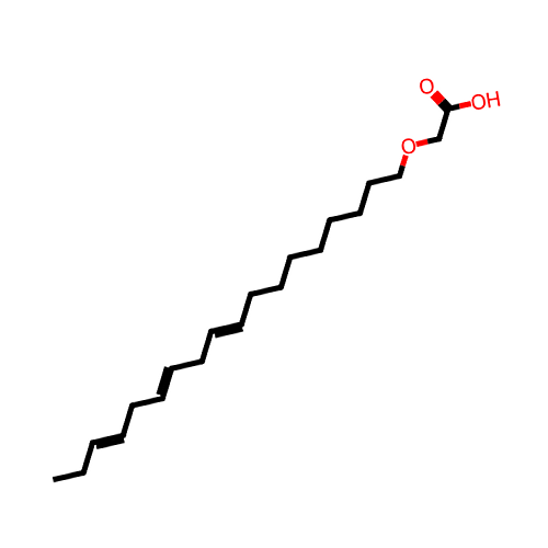 CC/C=C/C/C=C/C/C=C/CCCCCCCCOCC(=O)O